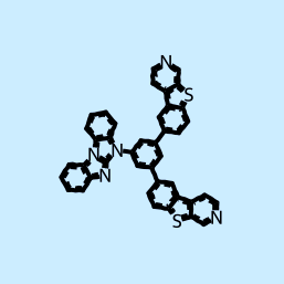 c1ccc2c(c1)nc1n(-c3cc(-c4ccc5sc6cnccc6c5c4)cc(-c4ccc5sc6cnccc6c5c4)c3)c3ccccc3n21